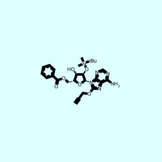 C#CCOc1nc2c(N)ncnc2n1[C@@H]1O[C@H](COC(=O)c2ccccc2)[C@@H](O)[C@H]1O[Si](C)(C)C(C)(C)C